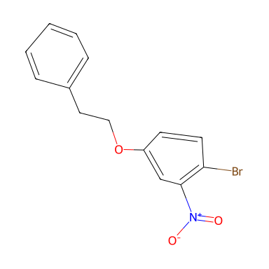 O=[N+]([O-])c1cc(OCCc2ccccc2)ccc1Br